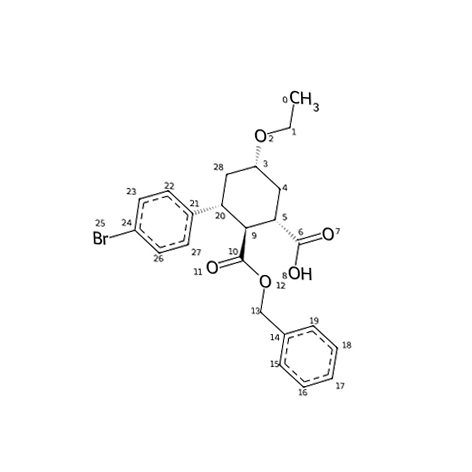 CCO[C@@H]1C[C@H](C(=O)O)[C@@H](C(=O)OCc2ccccc2)[C@H](c2ccc(Br)cc2)C1